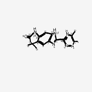 Cc1nnc(-c2nc3cc4c(cc3[nH]2)NC(=O)C4(C)C)nc1C